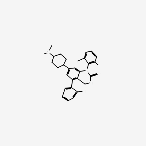 CN(C)C1CCC(c2cc(-c3ccccc3Cl)c3c(c2)N(c2c(Cl)cccc2Cl)C(=O)NC3)CC1